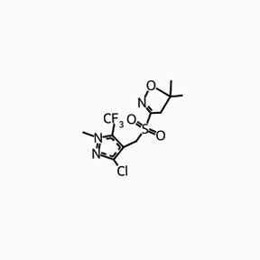 Cn1nc(Cl)c(CS(=O)(=O)C2=NOC(C)(C)C2)c1C(F)(F)F